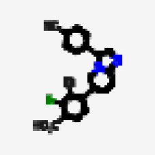 CCc1c(-c2ccc3ncc(-c4ccc(C#N)cc4)n3c2)ccc(C(=O)O)c1F